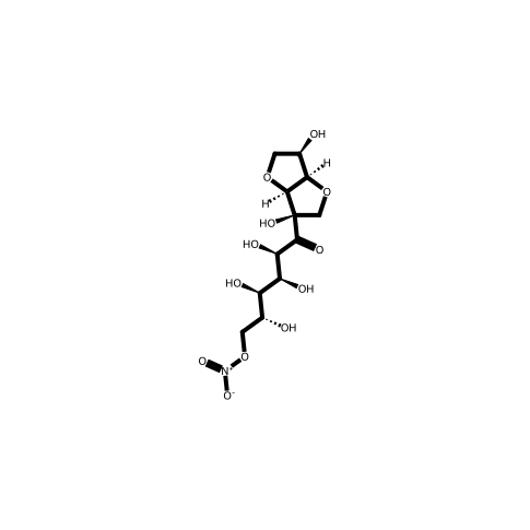 O=C([C@H](O)[C@@H](O)[C@H](O)[C@H](O)CO[N+](=O)[O-])[C@@]1(O)CO[C@@H]2[C@H](O)CO[C@@H]21